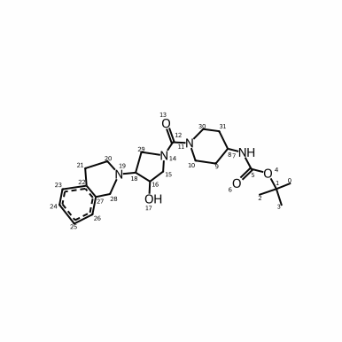 CC(C)(C)OC(=O)NC1CCN(C(=O)N2CC(O)C(N3CCc4ccccc4C3)C2)CC1